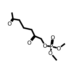 COP(=O)(OC)OCC(=O)CCCC(C)=O